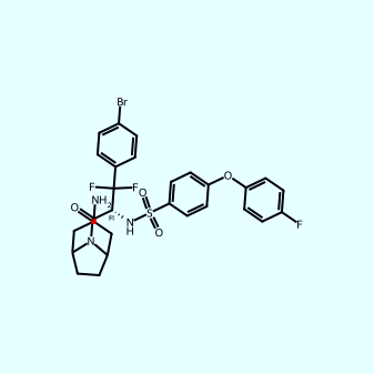 NC1CC2CCC(C1)N2C(=O)[C@@H](NS(=O)(=O)c1ccc(Oc2ccc(F)cc2)cc1)C(F)(F)c1ccc(Br)cc1